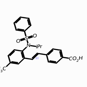 CC(C)N(c1ccc(C(F)(F)F)cc1/C=C/c1ccc(C(=O)O)cc1)S(=O)(=O)c1ccccc1